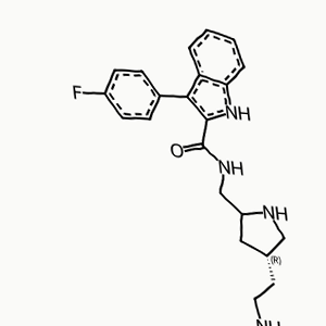 NCC[C@H]1CNC(CNC(=O)c2[nH]c3ccccc3c2-c2ccc(F)cc2)C1